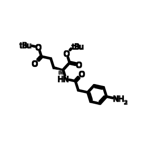 CC(C)(C)OC(=O)CC[C@H](NC(=O)Cc1ccc(N)cc1)C(=O)OC(C)(C)C